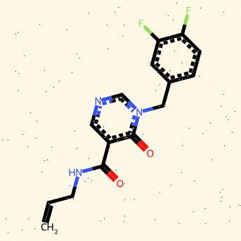 C=CCNC(=O)c1cncn(Cc2ccc(F)c(F)c2)c1=O